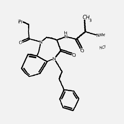 CNC(C)C(=O)NC1CN(C(=O)CC(C)C)c2ccccc2N(CCc2ccccc2)C1=O.Cl